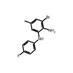 Cc1cc(Br)c(N)c(Nc2ccc(F)cc2)c1